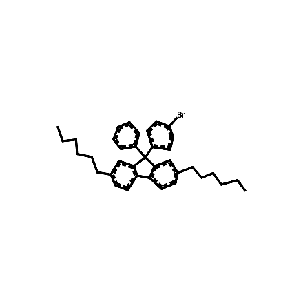 CCCCCCc1ccc2c(c1)C(c1ccccc1)(c1ccc(Br)cc1)c1cc(CCCCCC)ccc1-2